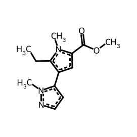 CCc1c(-c2ccnn2C)cc(C(=O)OC)n1C